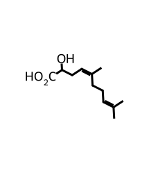 CC(C)=CCCC(C)=CCC(O)C(=O)O